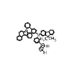 CC1(C)c2ccccc2-c2ccc(N(c3ccc(-c4ccccc4-n4c5ccccc5c5c6ccccc6ccc54)cc3)c3cccc(C45C[C@@H]6CC7C[C@@H](C4)C6C75)c3)cc21